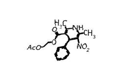 CC(=O)OCCOC(=O)C1=C(C)NC(C)=C([N+](=O)[O-])C1c1ccccc1